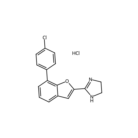 Cl.Clc1ccc(-c2cccc3cc(C4=NCCN4)oc23)cc1